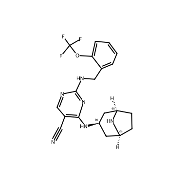 N#Cc1cnc(NCc2ccccc2OC(F)(F)F)nc1N[C@H]1C[C@H]2CC[C@@H](C1)N2